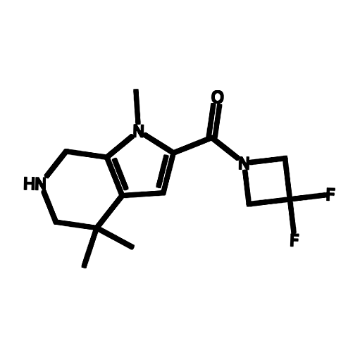 Cn1c(C(=O)N2CC(F)(F)C2)cc2c1CNCC2(C)C